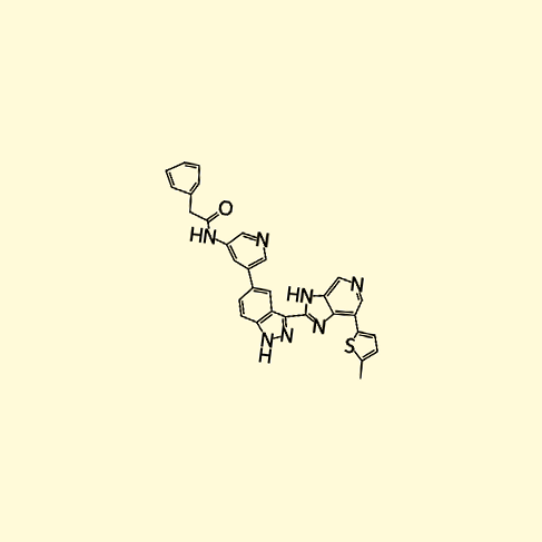 Cc1ccc(-c2cncc3[nH]c(-c4n[nH]c5ccc(-c6cncc(NC(=O)Cc7ccccc7)c6)cc45)nc23)s1